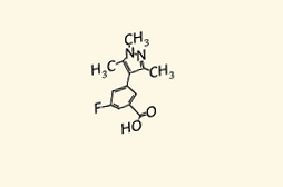 Cc1nn(C)c(C)c1-c1cc(F)cc(C(=O)O)c1